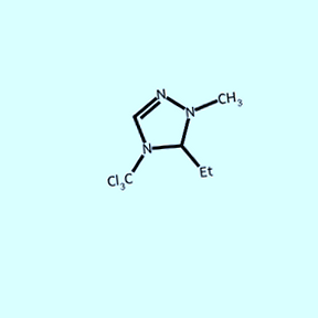 CCC1N(C)N=CN1C(Cl)(Cl)Cl